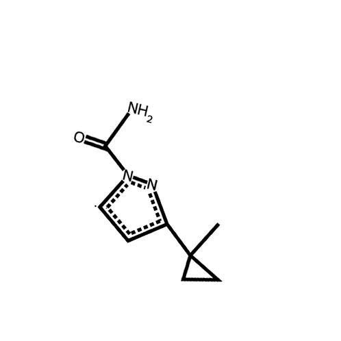 CC1(c2c[c]n(C(N)=O)n2)CC1